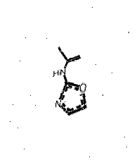 C=C(C)Nc1ncco1